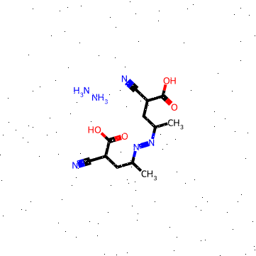 CC(CC(C#N)C(=O)O)N=NC(C)CC(C#N)C(=O)O.N.N